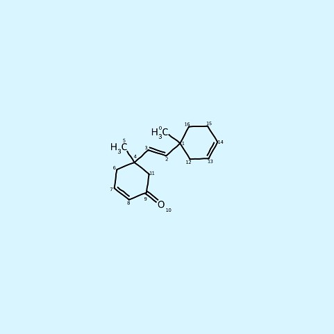 CC1(C=CC2(C)CC=CC(=O)C2)CC=CCC1